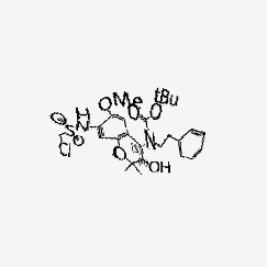 COc1cc2c(cc1NS(=O)(=O)CCl)OC(C)(C)[C@H](O)[C@H]2N(CCc1ccccc1)C(=O)OC(C)(C)C